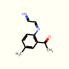 CC(=O)c1cc(C)ccc1/N=C\C=N